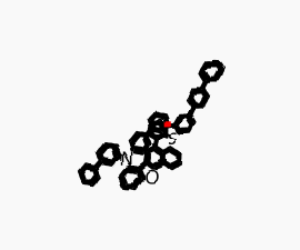 c1ccc(-c2ccc(-c3ccc4sc5c(-c6cc7c(oc8cccc(N(c9ccc(-c%10ccccc%10)cc9)c9cccc(-c%10ccccc%10)c9)c87)c7ccccc67)cccc5c4c3)cc2)cc1